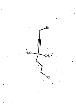 C[Si](C)(C#CCBr)CCCCl